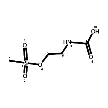 CS(=O)(=O)OCCNC(=O)O